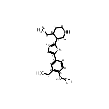 CCc1cc(-c2cnc(C3CNCCC3CC)o2)ccc1OC